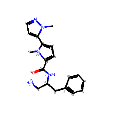 Cn1nccc1-c1ccc(C(=O)NC(CN)Cc2ccccc2)n1C